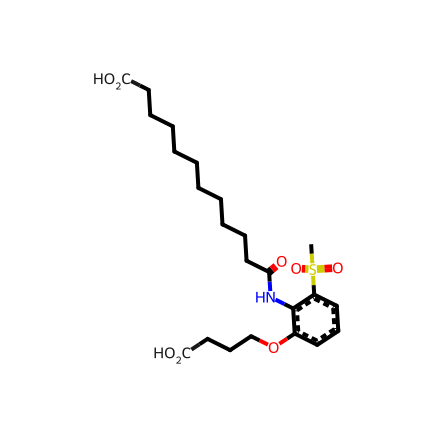 CS(=O)(=O)c1cccc(OCCCC(=O)O)c1NC(=O)CCCCCCCCCCC(=O)O